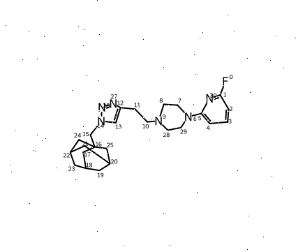 Fc1cccc(N2CCN(CCc3cn(CC45CC6CC(CC(C6)C4)C5)nn3)CC2)n1